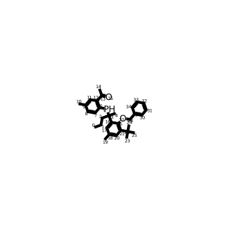 CCCC(C)(Pc1ccc(C)cc1C(C)=O)c1cc(C)cc(C(C)(C)C)c1OCc1ccccc1